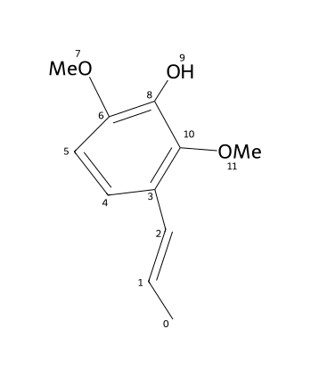 C/C=C/c1ccc(OC)c(O)c1OC